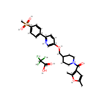 Cc1cc(C(=O)N2CCC(COc3ccc(-c4ccc(S(C)(=O)=O)cc4)nc3)CC2)c(C)o1.O=C(O)C(F)(F)F